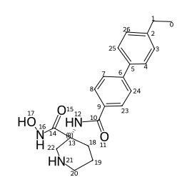 CCc1ccc(-c2ccc(C(=O)N[C@]3(C(=O)NO)CCCNC3)cc2)cc1